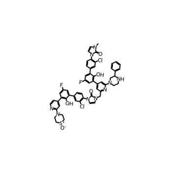 Cn1ccn(-c2ccc(-c3cc(F)cc(-c4cc(Cn5ccn(-c6ccc(-c7cc(F)cc(-c8ccnc(N9CC[S+]([O-])CC9)c8)c7O)cc6Cl)c5=O)nc(N5CCNC(c6ccccc6)C5)c4)c3O)cc2Cl)c1=O